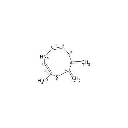 C=C1S/C=C\N/C=C(/C)SC1=C